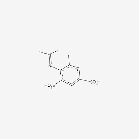 CC(C)=Nc1c(C)cc(S(=O)(=O)O)cc1S(=O)(=O)O